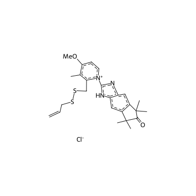 C=CCSSCc1c(C)c(OC)cc[n+]1-c1nc2cc3c(cc2[nH]1)C(C)(C)C(=O)C3(C)C.[Cl-]